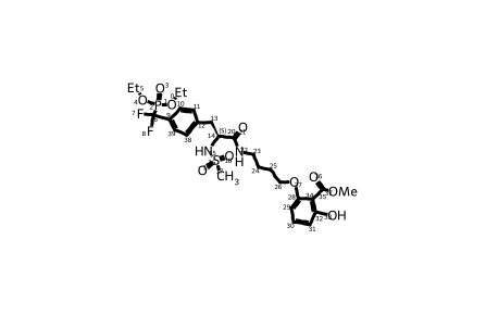 CCOP(=O)(OCC)C(F)(F)c1ccc(C[C@H](NS(C)(=O)=O)C(=O)NCCCCOc2cccc(O)c2C(=O)OC)cc1